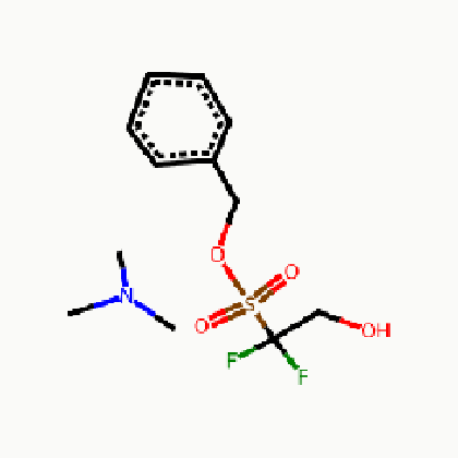 CN(C)C.O=S(=O)(OCc1ccccc1)C(F)(F)CO